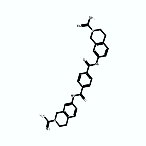 N=C(N)N1CCc2ccc(NC(=O)c3ccc(C(=O)Nc4ccc5c(c4)CN(C(=N)N)CC5)cc3)cc2C1